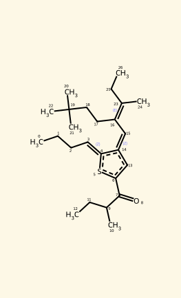 CCC\C=c1/sc(C(=O)C(C)CC)c/c1=C/C(CCC(C)(C)C)=C(\C)CC